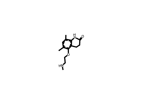 CNCCOc1c(C)cc(C)c2c1CCC(=O)N2